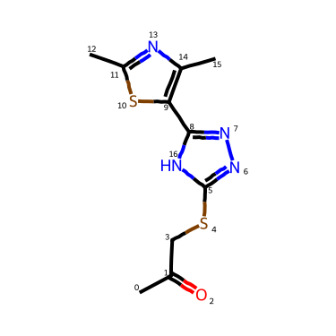 CC(=O)CSc1nnc(-c2sc(C)nc2C)[nH]1